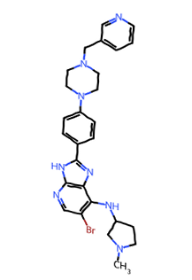 CN1CCC(Nc2c(Br)cnc3[nH]c(-c4ccc(N5CCN(Cc6cccnc6)CC5)cc4)nc23)C1